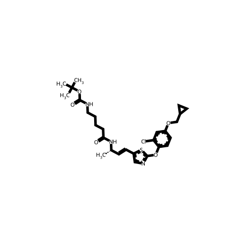 C[C@@H](/C=C/c1cnc(Oc2ccc(OCC3CC3)cc2Cl)s1)NC(=O)CCCCNC(=O)OC(C)(C)C